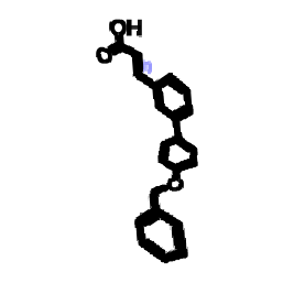 O=C(O)/C=C/c1cccc(-c2ccc(OCc3ccccc3)cc2)c1